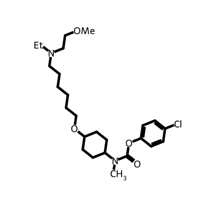 CCN(CCCCCCOC1CCC(N(C)C(=O)Oc2ccc(Cl)cc2)CC1)CCOC